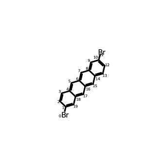 Brc1ccc2cc3cc4cc(Br)ccc4cc3cc2c1